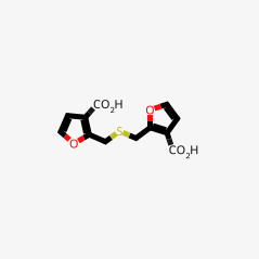 O=C(O)c1ccoc1CSCc1occc1C(=O)O